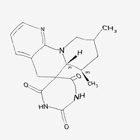 CC1C[C@@H](C)[C@H]2N(C1)c1ncccc1CC21C(=O)NC(=O)NC1=O